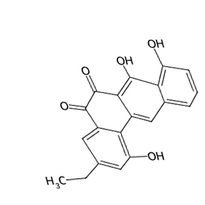 CCc1cc(O)c2c(c1)C(=O)C(=O)c1c-2cc2cccc(O)c2c1O